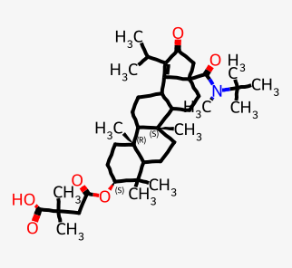 CC(C)C1=C2C3CCC4[C@@](C)(CCC5C(C)(C)[C@@H](OC(=O)CC(C)(C)C(=O)O)CC[C@@]54C)C3CCC2(C(=O)N(C)C(C)(C)C)CC1=O